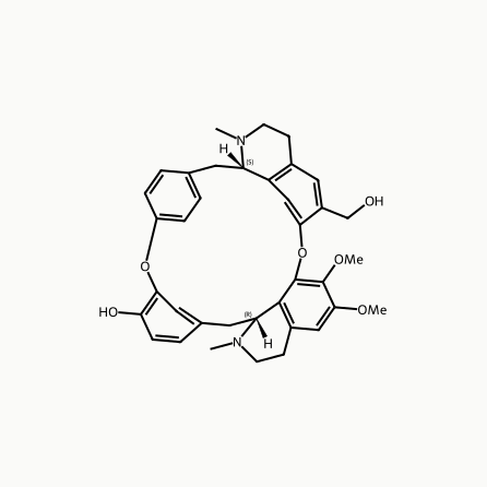 COc1cc2c3c(c1OC)Oc1cc4c(cc1CO)CCN(C)[C@H]4Cc1ccc(cc1)Oc1cc(ccc1O)C[C@H]3N(C)CC2